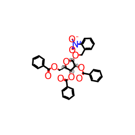 O=C(OC[C@H]1O[C@H](OCc2ccccc2[N+](=O)[O-])[C@H](OC(=O)c2ccccc2)[C@@H]1OC(=O)c1ccccc1)c1ccccc1